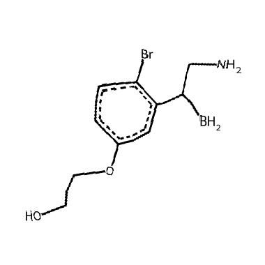 BC(CN)c1cc(OCCO)ccc1Br